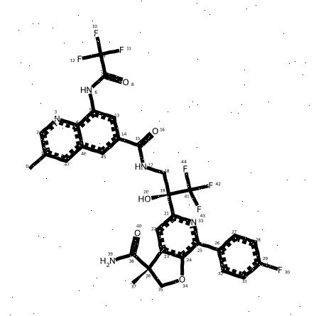 Cc1cnc2c(NC(=O)C(F)(F)F)cc(C(=O)NC[C@@](O)(c3cc4c(c(-c5ccc(F)cc5)n3)OC[C@]4(C)C(N)=O)C(F)(F)F)cc2c1